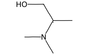 C[C](CO)N(C)C